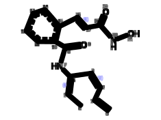 C=C/C=C\C(=C/C)NC(=O)c1ccccc1/C=C/C(=O)NO